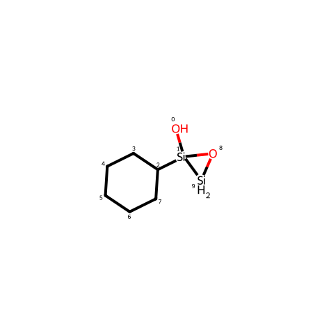 O[Si]1(C2CCCCC2)O[SiH2]1